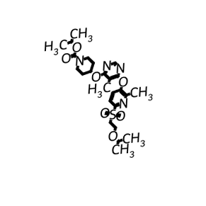 Cc1nc(S(=O)(=O)CCOC(C)C)ccc1Oc1ncnc(OC2CCN(C(=O)OC(C)C)CC2)c1C